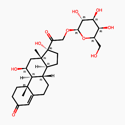 C[C@]12CCC(=O)C=C1CC[C@@H]1[C@@H]2[C@@H](O)C[C@@]2(C)[C@H]1CC[C@]2(O)C(=O)CO[C@@H]1O[C@H](CO)[C@H](O)[C@H](O)[C@H]1O